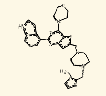 Cn1ccnc1CN1CCN(Cc2cc3nc(-c4cccc5[nH]ccc45)nc(N4CCOCC4)c3s2)CC1